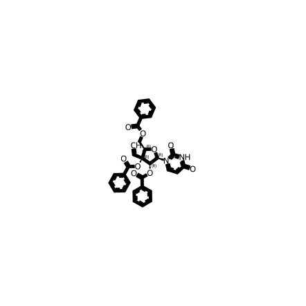 C=C[C@@]1(OC(=O)c2ccccc2)[C@@H](COC(=O)c2ccccc2)O[C@@H](n2ccc(=O)[nH]c2=O)[C@@H]1OC(=O)c1ccccc1